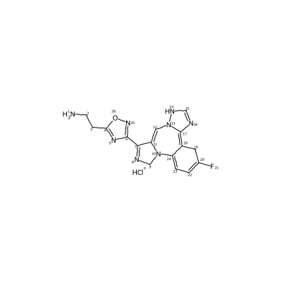 Cl.NCCc1nc(C2=NCN3C2=CN2NC=NC2=C2CC(F)=CC=C23)no1